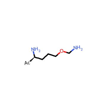 CC(=O)[C@@H](N)CCCOCN